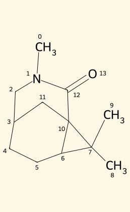 CN1CC2CCC3C(C)(C)C3(C2)C1=O